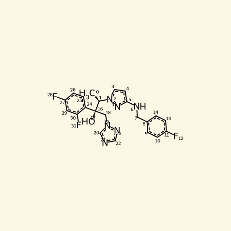 C[C@@H](n1ccc(NCc2ccc(F)cc2)n1)[C@](O)(Cn1cncn1)c1ccc(F)cc1F